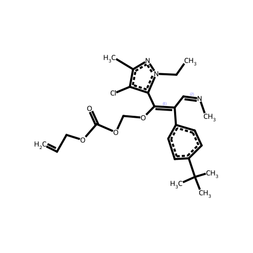 C=CCOC(=O)OCO/C(=C(/C=N\C)c1ccc(C(C)(C)C)cc1)c1c(Cl)c(C)nn1CC